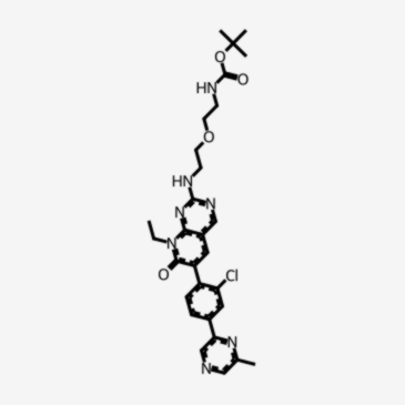 CCn1c(=O)c(-c2ccc(-c3cncc(C)n3)cc2Cl)cc2cnc(NCCOCCNC(=O)OC(C)(C)C)nc21